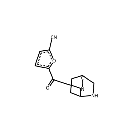 N#Cc1ccc(C(=O)N2CC3CCC(C2)NC3)o1